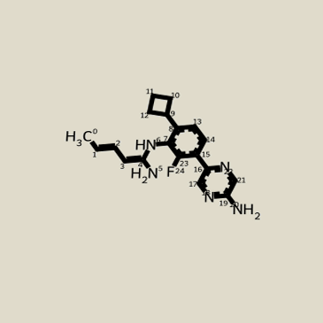 C/C=C/C=C(/N)Nc1c(C2CCC2)ccc(-c2cnc(N)cn2)c1F